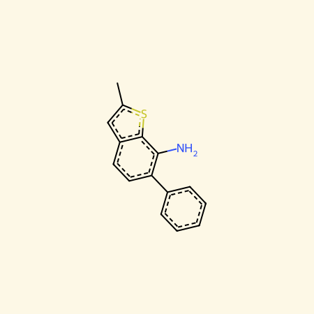 Cc1cc2ccc(-c3ccccc3)c(N)c2s1